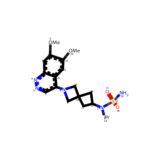 COc1cc2nncc(N3CC4(CC(N(C(C)C)S(N)(=O)=O)C4)C3)c2cc1OC